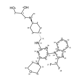 CN(CC(O)CO)[C@H]1CC[C@H](CNc2nc(N3CCOCC3)cc(-n3c(C(F)F)nc4ccccc43)n2)CC1